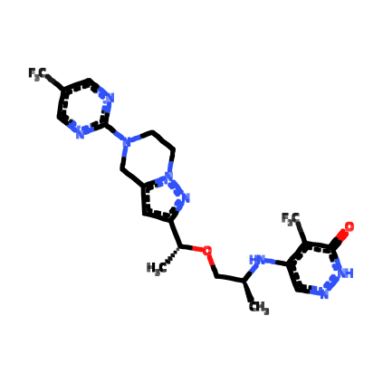 C[C@@H](CO[C@H](C)c1cc2n(n1)CCN(c1ncc(C(F)(F)F)cn1)C2)Nc1cn[nH]c(=O)c1C(F)(F)F